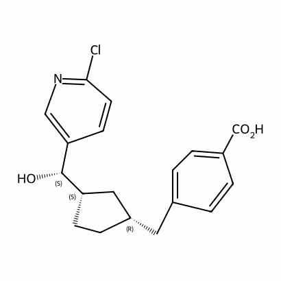 O=C(O)c1ccc(C[C@@H]2CC[C@H]([C@H](O)c3ccc(Cl)nc3)C2)cc1